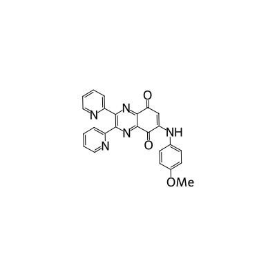 COc1ccc(NC2=CC(=O)c3nc(-c4ccccn4)c(-c4ccccn4)nc3C2=O)cc1